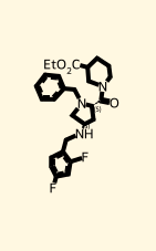 CCOC(=O)C1CCCN(C(=O)[C@@H]2C[C@H](NCc3ccc(F)cc3F)CN2Cc2ccccc2)C1